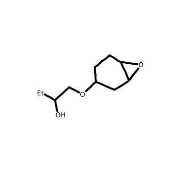 CCC(O)COC1CCC2OC2C1